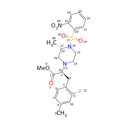 COC(=O)[C@H](Cc1ccc(C)cc1F)N1CCN(S(=O)(=O)c2ccccc2[N+](=O)[O-])[C@@H](C)C1